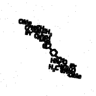 COC(=O)N[C@H](C(=O)N(C)[C@@H](C)c1ncc(C2CCC(C3COC(c4cnc([C@H](C)N(C)C(=O)[C@@H](NC(=O)OC)C(C)C)[nH]4)OC3)CC2)[nH]1)C(C)C